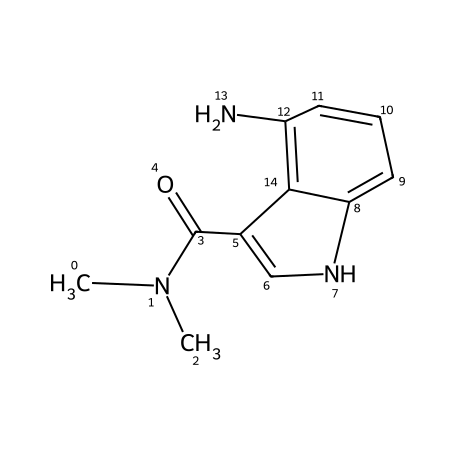 CN(C)C(=O)c1c[nH]c2cccc(N)c12